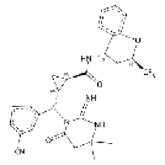 CC1(C)CC(=O)N(C(c2cccc(C#N)c2)[C@@H]2C[C@H]2C(=O)N[C@H]2C[C@H](C(F)(F)F)Oc3ccccc32)C(=N)N1